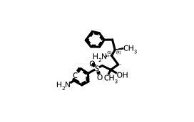 C[C@H](Cc1ccccc1)[C@@H](N)[CH]C(C)(O)CS(=O)(=O)c1ccc(N)cc1